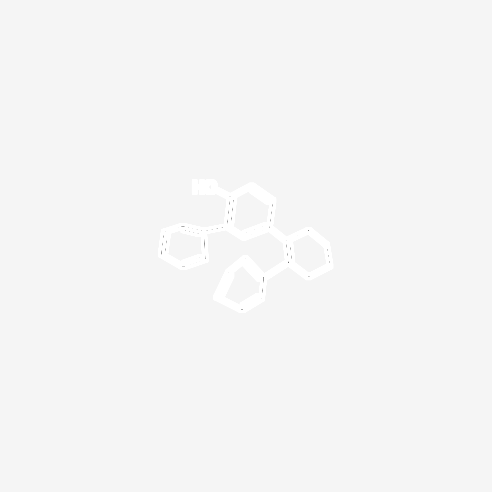 Oc1ccc(C2=C(c3ccccc3)CCCC2)cc1-c1ccccc1